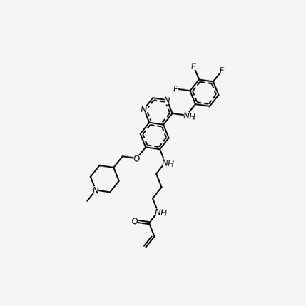 C=CC(=O)NCCCNc1cc2c(Nc3ccc(F)c(F)c3F)ncnc2cc1OCC1CCN(C)CC1